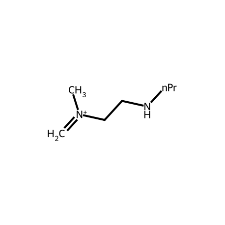 C=[N+](C)CCNCCC